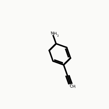 C#CC1=CCC(N)C=C1